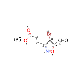 CC(C)(C)OC(=O)CCc1noc(C=O)c1Br